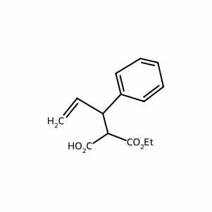 C=CC(c1ccccc1)C(C(=O)O)C(=O)OCC